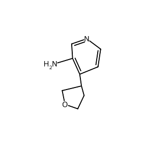 Nc1cnccc1C1CCOC1